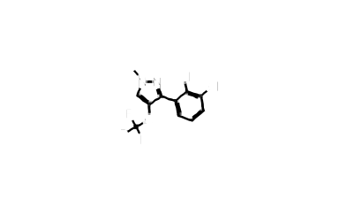 Cn1cc(OC(F)(F)F)c(-c2cccc(Cl)c2Cl)n1